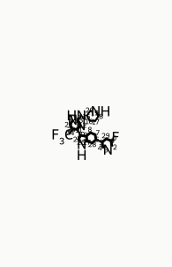 Fc1cncc(-c2ccc3c(-c4nc(N[C@H]5CCCNC5)ncc4C(F)(F)F)c[nH]c3c2)c1